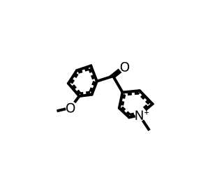 COc1cccc(C(=O)c2cc[n+](C)cc2)c1